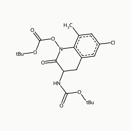 Cc1cc(Cl)cc2c1N(OC(=O)OC(C)(C)C)C(=O)C(NC(=O)OC(C)(C)C)C2